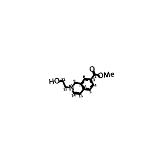 COC(=O)c1ccc2c(c1)CN(CCO)C=C2